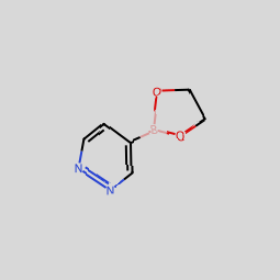 c1cc(B2OCCO2)cnn1